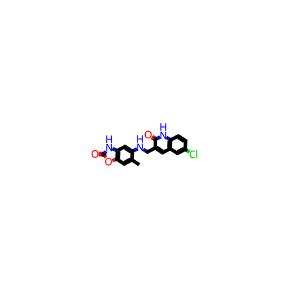 Cc1cc2oc(=O)[nH]c2cc1NCc1cc2cc(Cl)ccc2[nH]c1=O